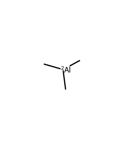 [CH3][2Al]([CH3])[CH3]